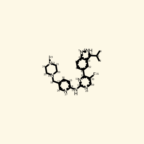 CC(C)c1[nH]nc2ccc(-c3nc(Nc4ccc(CN5CCN(I)CC5)cn4)ncc3F)cc12